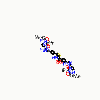 COC(=O)N[C@H](C(=O)N1CCC[C@H]1c1nc(-c2ccc(-c3csc4c3[nH]c3c(=O)oc5cc(-c6cnc([C@@H]7CCCN7C(=O)[C@@H](NC(=O)OC)C(C)C)[nH]6)ccc5c34)cc2)c[nH]1)C(C)C